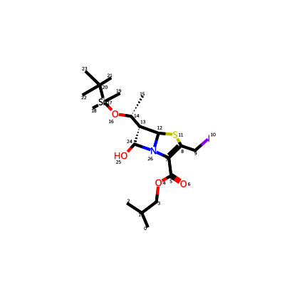 CC(C)COC(=O)C1=C(CI)SC2[C@@H]([C@@H](C)O[Si](C)(C)C(C)(C)C)C(O)N12